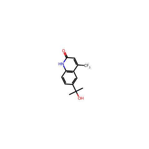 CC(C)(O)c1ccc2[nH]c(=O)cc(C(F)(F)F)c2c1